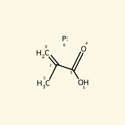 C=C(C)C(=O)O.[P]